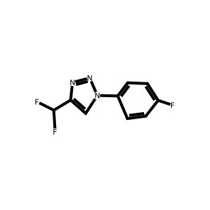 Fc1ccc(-n2cc(C(F)F)nn2)cc1